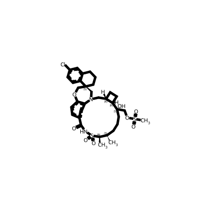 C[C@@H]1[C@@H](C)CCC[C@@](O)(COS(C)(=O)=O)[C@@H]2CC[C@H]2CN2C[C@@]3(CCCc4cc(Cl)ccc43)COc3ccc(cc32)C(=O)NS1(=O)=O